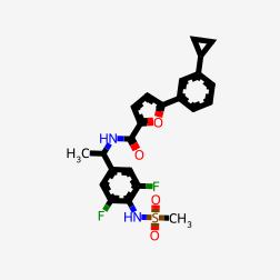 CC(NC(=O)c1ccc(-c2cccc(C3CC3)c2)o1)c1cc(F)c(NS(C)(=O)=O)c(F)c1